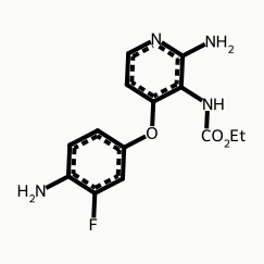 CCOC(=O)Nc1c(Oc2ccc(N)c(F)c2)ccnc1N